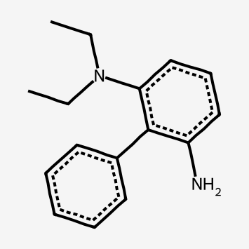 CCN(CC)c1cccc(N)c1-c1ccccc1